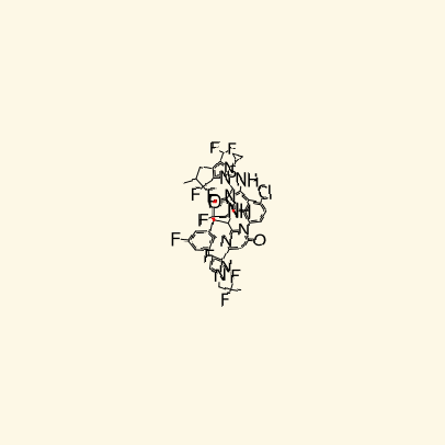 CC1Cc2c(C(F)F)nn(CC(=O)NC(Cc3cc(F)cc(F)c3)c3nc(-c4ccn(CC(C)(F)F)n4)cc(=O)n3-c3ccc(Cl)c4c(NSC5CC5)nn(CC(F)F)c34)c2C1(F)F